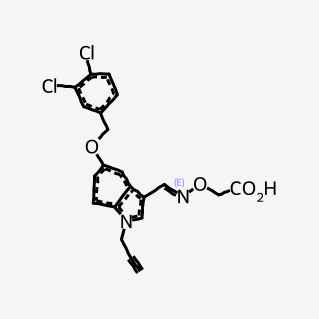 C#CCn1cc(/C=N/OCC(=O)O)c2cc(OCc3ccc(Cl)c(Cl)c3)ccc21